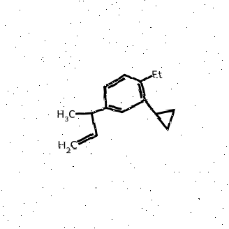 C=C[C](C)c1ccc(CC)c(C2CC2)c1